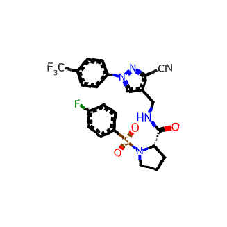 N#Cc1nn(-c2ccc(C(F)(F)F)cc2)cc1CNC(=O)[C@@H]1CCCN1S(=O)(=O)c1ccc(F)cc1